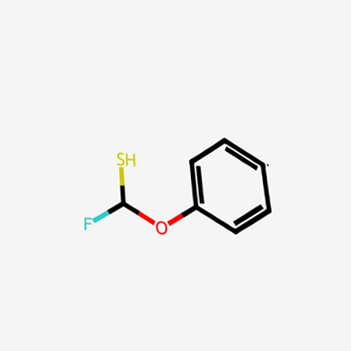 FC(S)Oc1cc[c]cc1